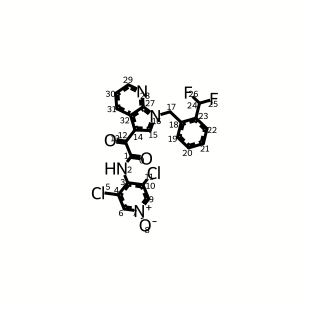 O=C(Nc1c(Cl)c[n+]([O-])cc1Cl)C(=O)c1cn(Cc2ccccc2C(F)F)c2ncccc12